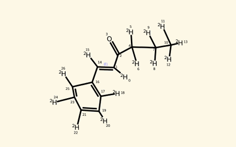 [2H]/C(C(=O)C([2H])([2H])C([2H])([2H])C([2H])([2H])[2H])=C(/[2H])c1c([2H])c([2H])c([2H])c([2H])c1[2H]